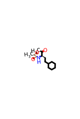 CC(=O)[C@@H](CCC1CCCCC1)NS(C)(=O)=O